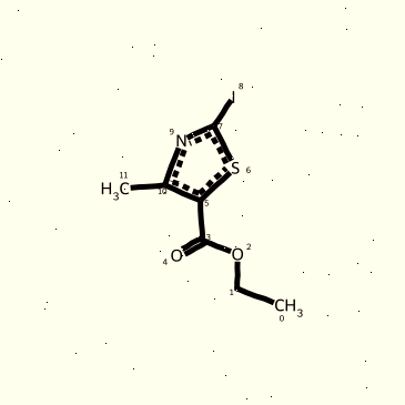 CCOC(=O)c1sc(I)nc1C